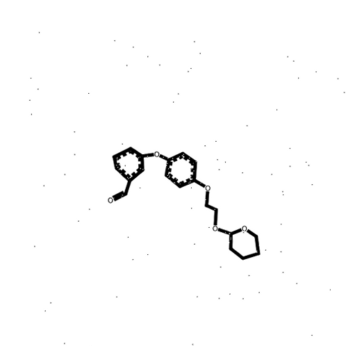 O=Cc1cccc(Oc2ccc(OCCOC3CCCCO3)cc2)c1